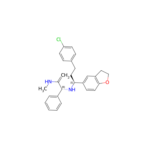 C=C(NC)[C@H](N[C@@H](CCc1ccc(Cl)cc1)c1ccc2c(c1)CCO2)c1ccccc1